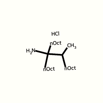 CCCCCCCCC(C)C(N)(CCCCCCCC)CCCCCCCC.Cl